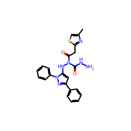 Cc1csc(CC(=O)N(Nc2cc(-c3ccccc3)nn2-c2ccccc2)C(=O)NN)n1